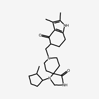 Cc1[nH]c2c(c1C)C(=O)C(CN1CCC3(CC1)C(=O)NCN3C1CCCC1C)CC2